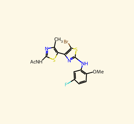 COc1ccc(F)cc1Nc1nc(-c2sc(NC(C)=O)nc2C)c(Br)s1